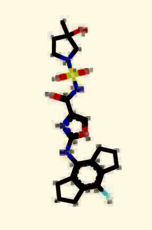 CC1(O)CCN(S(=O)(=O)NC(=O)c2coc(Nc3c4c(c(F)c5c3CCC5)CCC4)n2)C1